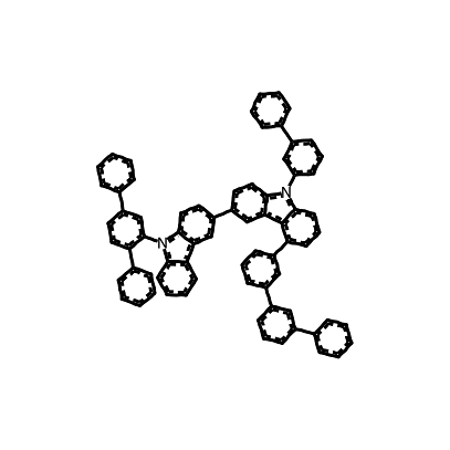 c1ccc(-c2cccc(-c3cccc(-c4cccc5c4c4cc(-c6ccc7c(c6)c6ccccc6n7-c6cc(-c7ccccc7)ccc6-c6ccccc6)ccc4n5-c4cccc(-c5ccccc5)c4)c3)c2)cc1